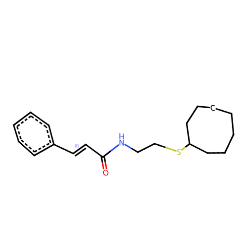 O=C(/C=C/c1ccccc1)NCCSC1CCCCCCC1